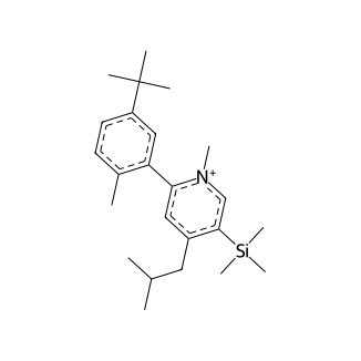 Cc1ccc(C(C)(C)C)cc1-c1cc(CC(C)C)c([Si](C)(C)C)c[n+]1C